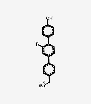 CC[C@H](C)Cc1ccc(-c2ccc(-c3ccc(O)cc3)c(F)c2)cc1